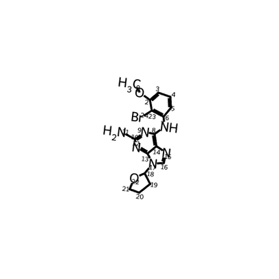 COc1cccc(Nc2nc(N)nc3c2ncn3C2CCCO2)c1Br